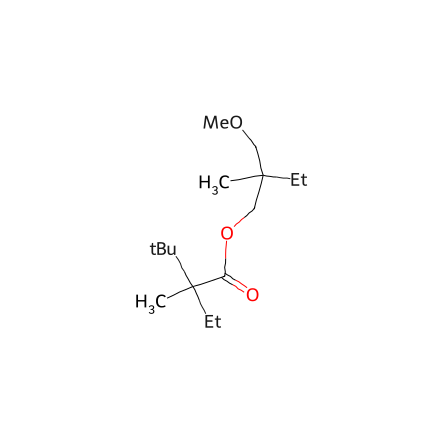 CCC(C)(COC)COC(=O)C(C)(CC)C(C)(C)C